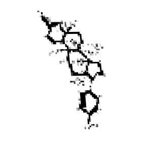 COc1ccc([C@H]2CC[C@H]3[C@@H]4[C@@H](C)C[C@H]5NC(=O)C=C[C@]5(C)[C@H]4CC[C@]23C)cc1